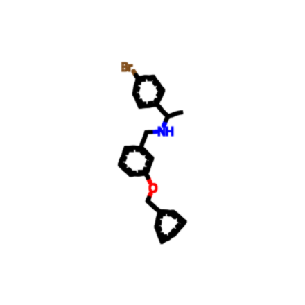 CC(NCc1cccc(OCc2ccccc2)c1)c1ccc(Br)cc1